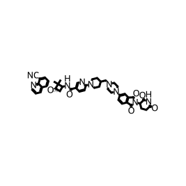 CC1(C)C(NC(=O)c2ccc(N3CCC(CN4CCN(c5ccc6c(c5)C(=O)N(C5CCC(=O)NC5=O)C6=O)CC4)CC3)nc2)C[C@@H]1Oc1ccc(C#N)c2ncccc12